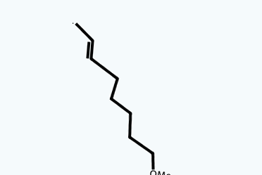 [CH2]/C=C/CCCCCOC